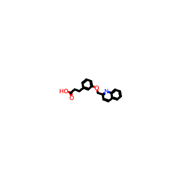 O=C(O)CCc1cccc(OCc2ccc3ccccc3n2)c1